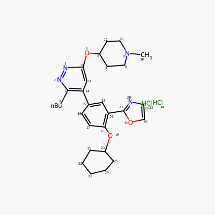 CCCCc1nnc(OC2CCN(C)CC2)cc1-c1ccc(OC2CCCCC2)c(-c2ncco2)c1.Cl.Cl